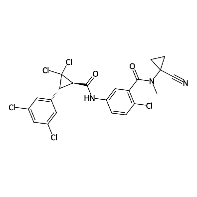 CN(C(=O)c1cc(NC(=O)[C@H]2[C@H](c3cc(Cl)cc(Cl)c3)C2(Cl)Cl)ccc1Cl)C1(C#N)CC1